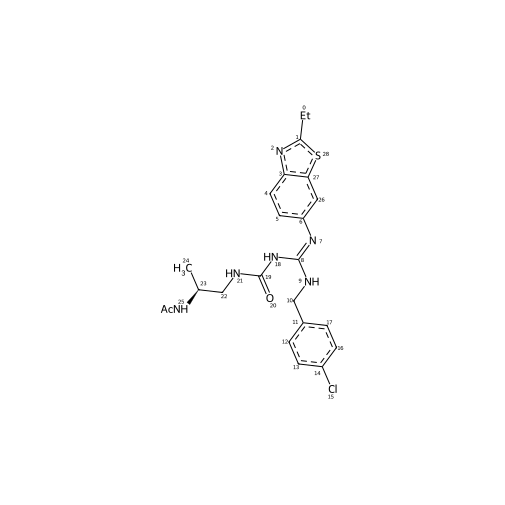 CCc1nc2ccc(/N=C(/NCc3ccc(Cl)cc3)NC(=O)NC[C@H](C)NC(C)=O)cc2s1